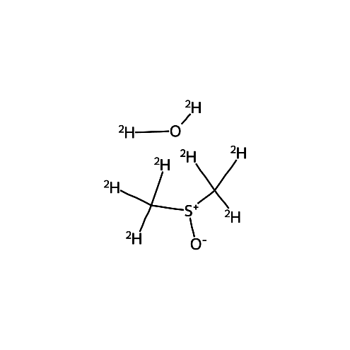 [2H]C([2H])([2H])[S+]([O-])C([2H])([2H])[2H].[2H]O[2H]